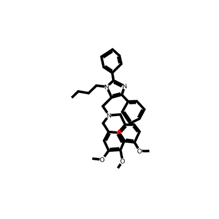 CCCCn1c(-c2ccccc2)nc(-c2ccccc2)c1CN(Cc1ccc(OC)cc1)Cc1ccc(OC)c(OC)c1